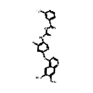 COc1cc2nccc(Oc3ccc(NC(=S)NC(=O)c4cccc(C)c4)c(F)c3)c2cc1OC